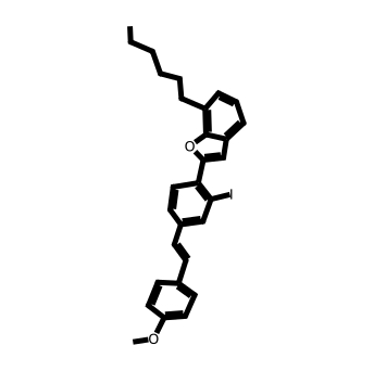 CCCCCCc1cccc2cc(-c3ccc(/C=C/c4ccc(OC)cc4)cc3I)oc12